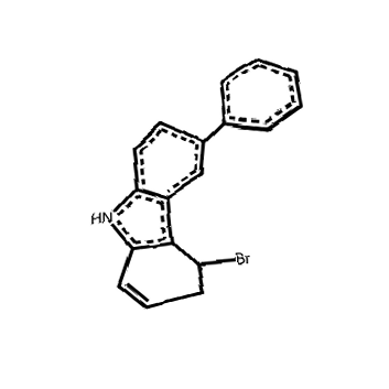 BrC1CC=Cc2[nH]c3ccc(-c4ccccc4)cc3c21